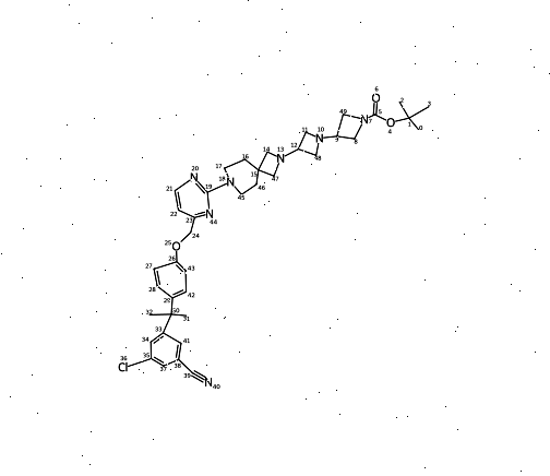 CC(C)(C)OC(=O)N1CC(N2CC(N3CC4(CCN(c5nccc(COc6ccc(C(C)(C)c7cc(Cl)cc(C#N)c7)cc6)n5)CC4)C3)C2)C1